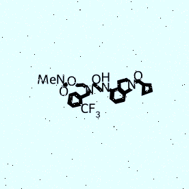 CNC(=O)OCCN(Cc1ccccc1C(F)(F)F)C(=O)CNc1cccc2c1CCN(C(=O)C1CCC1)C2